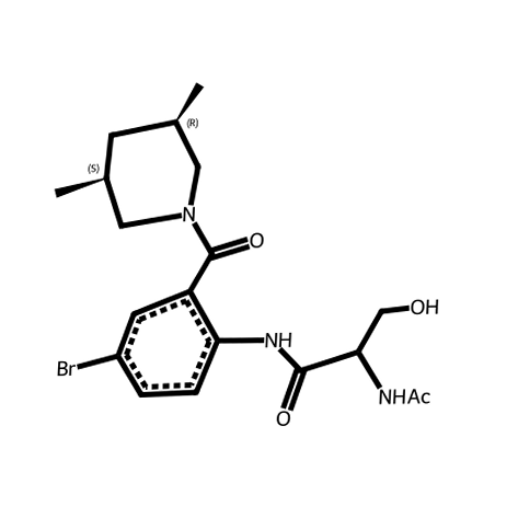 CC(=O)NC(CO)C(=O)Nc1ccc(Br)cc1C(=O)N1C[C@H](C)C[C@H](C)C1